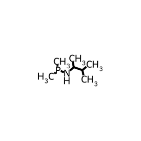 CC(C)C(C)NP(C)C